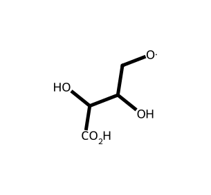 [O]CC(O)C(O)C(=O)O